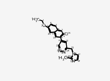 CCOc1ccc2ccc(-c3cnnc(Cn4ccnc4C)c3)cc2c1.Cl